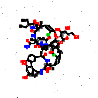 CN[C@H](CC(C)C)C(=O)N[C@H]1C(=O)N[C@@H](CC(N)=O)C(=O)N[C@H]2C(=O)CC3C(=O)N[C@H](C(=O)N[C@@H](C(=O)O)c4cc(O)cc(O)c4-c4cc3ccc4O)[C@H](O)c3ccc(c(Cl)c3)Cc3cc2cc(c3O[C@@H]2O[C@H](CO)[C@@H](O)[C@H](O)[C@H]2O[C@H]2C[C@](C)(NC(=O)OC)[C@H](O)[C@H](C)O2)Oc2ccc(cc2Cl)[C@H]1O